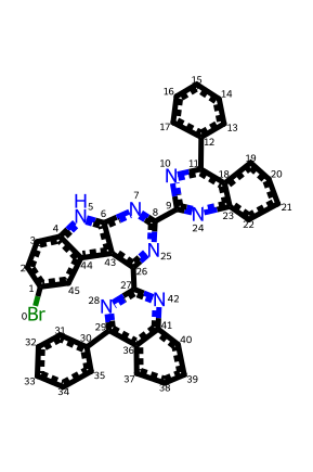 Brc1ccc2[nH]c3nc(-c4nc(-c5ccccc5)c5ccccc5n4)nc(-c4nc(-c5ccccc5)c5ccccc5n4)c3c2c1